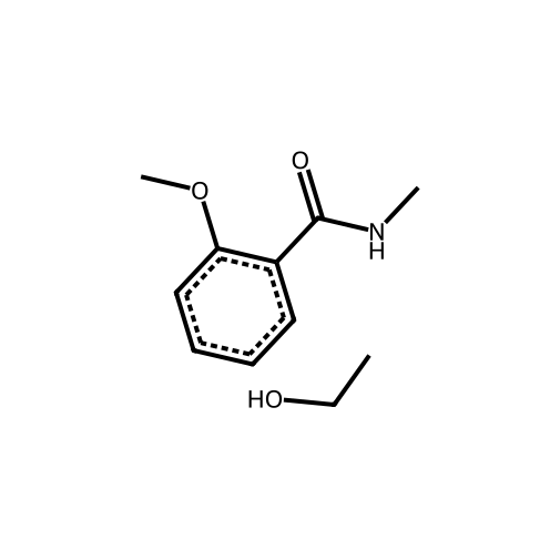 CCO.CNC(=O)c1ccccc1OC